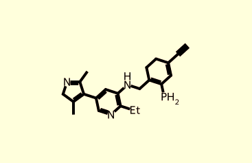 C#CC1=CC(P)=C(CNc2cc(C3=C(C)CN=C3C)cnc2CC)CC1